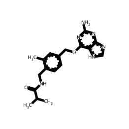 Cc1cc(COc2nc(N)nc3nc[nH]c23)ccc1CNC(=O)C(C)C